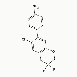 Nc1ccc(-c2cc3c(cc2Cl)OC(F)(F)CO3)cn1